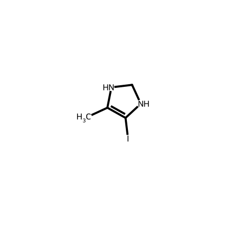 CC1=C(I)NCN1